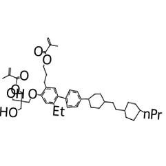 C=C(C)C(=O)OCCCc1cc(-c2ccc(C3CCC(CCC4CCC(CCC)CC4)CC3)cc2)c(CC)cc1OCC(CO)(CO)COC(=O)C(=C)C